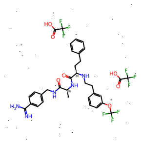 C[C@H](NC(=O)[C@@H](CCc1ccccc1)NCCc1cccc(OC(F)(F)F)c1)C(=O)NCc1ccc(C(=N)N)cc1.O=C(O)C(F)(F)F.O=C(O)C(F)(F)F